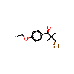 [CH2]COc1ccc(C(=O)C(C)(C)CS)cc1